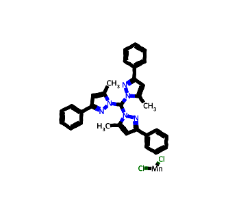 Cc1cc(-c2ccccc2)nn1C(n1nc(-c2ccccc2)cc1C)n1nc(-c2ccccc2)cc1C.[Cl][Mn][Cl]